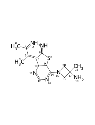 CC(=N)/C(C)=C1\C(=N)Sc2c1ncnc2N1CC(C)(N)C1